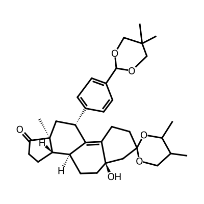 CC1COC2(CCC3=C4[C@@H](CC[C@@]3(O)C2)[C@@H]2CCC(=O)[C@@]2(C)C[C@@H]4c2ccc(C3OCC(C)(C)CO3)cc2)OC1C